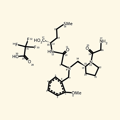 COc1ccccc1CN(CC(=O)N[C@@H](CCSC)C(=O)O)C[C@@H]1CCCN1C(=O)CN.O=C(O)C(F)(F)F